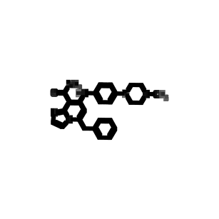 CN1CCN(c2ccc(Nc3cc(Cc4ccccc4)n4ccnc4c3C(N)=O)cc2)CC1